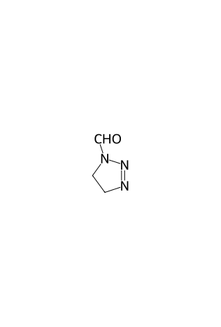 O=CN1CCN=N1